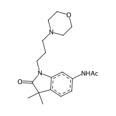 CC(=O)Nc1ccc2c(c1)N(CCCN1CCOCC1)C(=O)C2(C)C